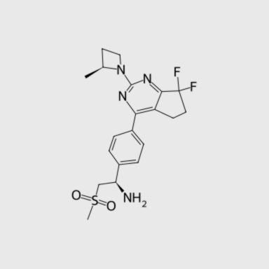 C[C@H]1CCN1c1nc(-c2ccc([C@@H](N)CS(C)(=O)=O)cc2)c2c(n1)C(F)(F)CC2